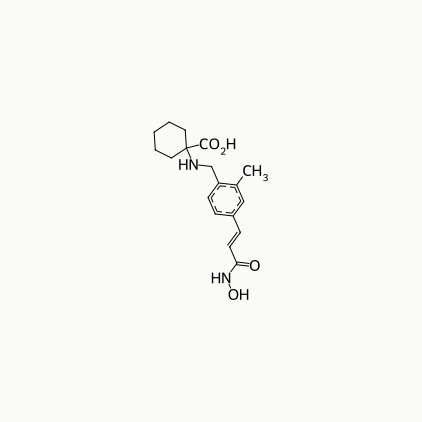 Cc1cc(C=CC(=O)NO)ccc1CNC1(C(=O)O)CCCCC1